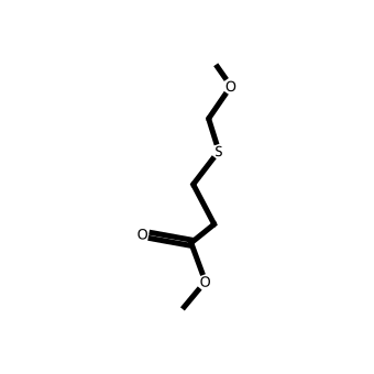 COCSCCC(=O)OC